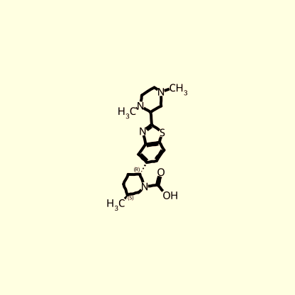 C[C@H]1CC[C@H](c2ccc3sc(C4CN(C)CCN4C)nc3c2)N(C(=O)O)C1